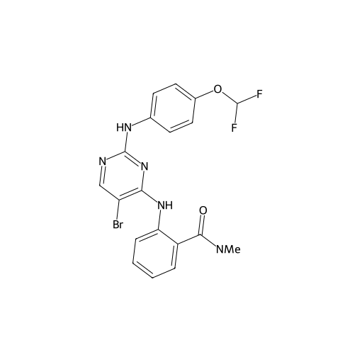 CNC(=O)c1ccccc1Nc1nc(Nc2ccc(OC(F)F)cc2)ncc1Br